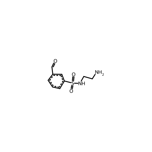 NCCNS(=O)(=O)c1cccc(C=O)c1